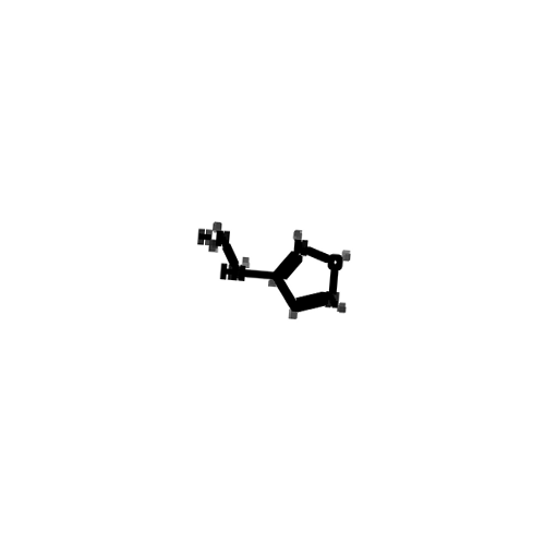 NNc1cnon1